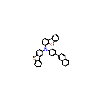 c1ccc2cc(-c3ccc(N(c4ccc5sc6ccccc6c5c4)c4cccc5c4oc4ccccc45)cc3)ccc2c1